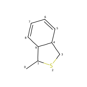 CC1SCC2C=CC=CC21